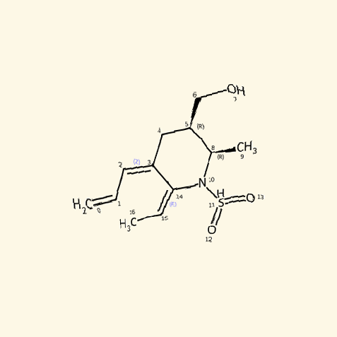 C=C/C=C1/C[C@@H](CO)[C@@H](C)N([SH](=O)=O)/C1=C/C